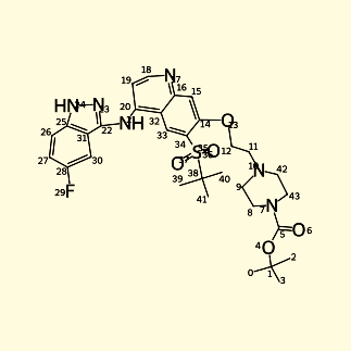 CC(C)(C)OC(=O)N1CCN(CCOc2cc3nccc(Nc4n[nH]c5ccc(F)cc45)c3cc2S(=O)(=O)C(C)(C)C)CC1